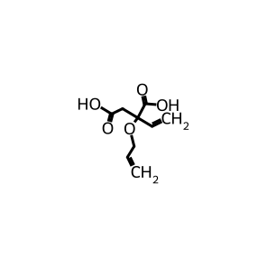 C=CCOC(C=C)(CC(=O)O)C(=O)O